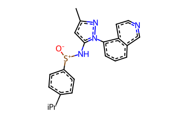 Cc1cc(N[S+]([O-])c2ccc(C(C)C)cc2)n(-c2cccc3cnccc23)n1